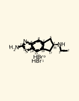 Br.Br.CCN[C@@H]1Cc2cc3nc(N)sc3cc2C1